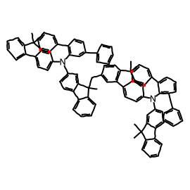 CC1(C)c2ccccc2-c2ccc(N(c3ccc4c(c3)C(C)(Cc3ccc5c(c3)-c3ccc(N(c6ccc7c(c6)C(C)(C)c6ccccc6-7)c6c(-c7ccccc7)cccc6-c6ccccc6)cc3C5(C)C)c3ccccc3-4)c3cc(-c4ccccc4)ccc3-c3ccccc3)cc21